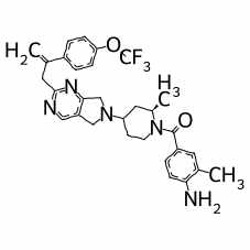 C=C(Cc1ncc2c(n1)CN(C1CCN(C(=O)c3ccc(N)c(C)c3)[C@H](C)C1)C2)c1ccc(OC(F)(F)F)cc1